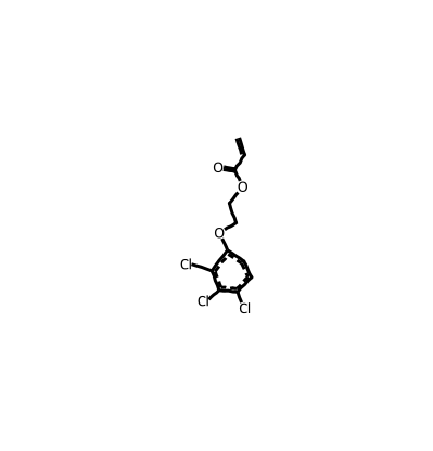 C=CC(=O)OCCOc1ccc(Cl)c(Cl)c1Cl